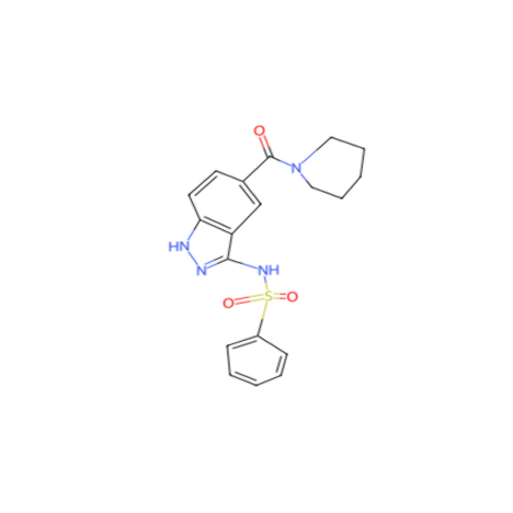 O=C(c1ccc2[nH]nc(NS(=O)(=O)c3ccccc3)c2c1)N1CCCCC1